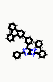 c1ccc(-c2nc(-c3cccc(-c4ccc5c6ccccc6c6ccccc6c5c4)c3)c3[nH]c(-c4ccccc4-c4ccccc4)nc3n2)cc1